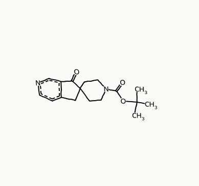 CC(C)(C)OC(=O)N1CCC2(CC1)Cc1ccncc1C2=O